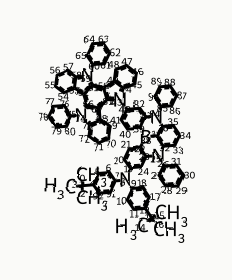 CC(C)(C)c1ccc(N(c2ccc(C(C)(C)C)cc2)c2ccc3c(c2)N(c2ccccc2)c2cccc4c2B3c2ccc(-n3c5ccccc5c5c6c(c7ccccc7n6-c6ccccc6)c6c(c7ccccc7n6-c6ccccc6)c53)cc2N4c2ccccc2)cc1